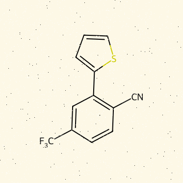 N#Cc1ccc(C(F)(F)F)cc1-c1cccs1